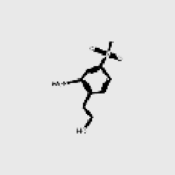 CNc1cc(S(C)(=O)=O)ccc1CCO